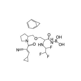 N#CC(=CC1CC1)C(=O)N1CCCC1COCC(NC(F)C(F)F)C(=O)NB(O)O.c1ccc2c(c1)C2